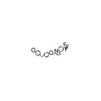 COc1ccc(Cc2ccc(OCc3ccc4cc(C(F)(F)F)ccc4n3)cc2)cc1